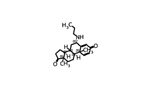 CCCN[C@H]1C[C@@H]2[C@H](CC[C@]3(C)C(=O)CC[C@@H]23)[C@@]2(C)C=CC(=O)C=C12